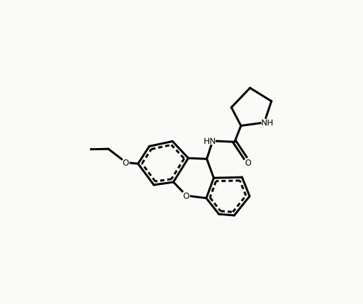 CCOc1ccc2c(c1)Oc1ccccc1C2NC(=O)C1CCCN1